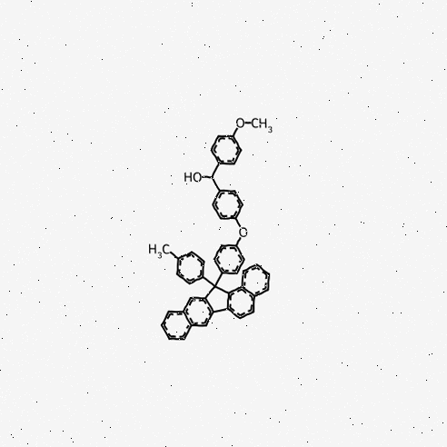 COc1ccc(C(O)c2ccc(Oc3ccc(C4(c5ccc(C)cc5)c5cc6ccccc6cc5-c5ccc6ccccc6c54)cc3)cc2)cc1